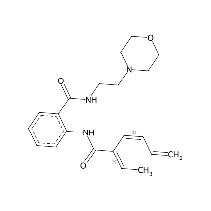 C=C/C=C\C(=C/C)C(=O)Nc1ccccc1C(=O)NCCN1CCOCC1